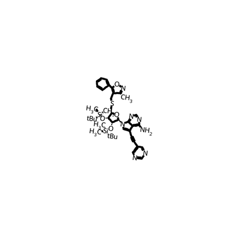 Cc1noc(-c2ccccc2)c1CSC[C@H]1O[C@@H](n2cc(C#Cc3cncnc3)c3c(N)ncnc32)[C@H](O[Si](C)(C)C(C)(C)C)[C@@H]1O[Si](C)(C)C(C)(C)C